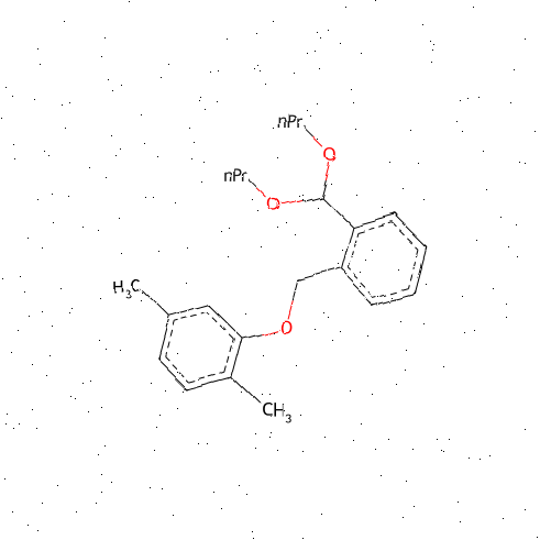 CCCOC(OCCC)c1ccccc1COc1cc(C)ccc1C